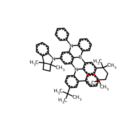 CC(C)(C)c1ccc(N2c3cc4c(cc3B3c5ccccc5N(c5ccccc5)c5cc(N6c7ccccc7C7(C)CCC67C)cc2c53)C(C)(C)CCC4(C)C)c(-c2ccccc2)c1